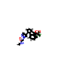 CCNC(=O)Cn1cc(-c2cccc3c2-c2ccccc2C3(O)C(F)(F)F)cn1